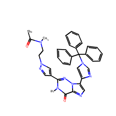 CC(C)n1c(-c2cnn(CCN(C)C(=O)C(C)(C)C)c2)nn2c(-c3cn(C(c4ccccc4)(c4ccccc4)c4ccccc4)cn3)cnc2c1=O